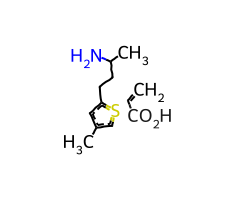 C=CC(=O)O.Cc1csc(CCC(C)N)c1